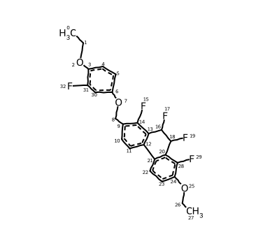 CCOc1ccc(OCc2ccc3c(c2F)C(F)C(F)c2c-3ccc(OCC)c2F)cc1F